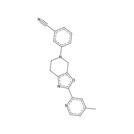 Cc1ccnc(-c2nc3c(o2)CN(c2cccc(C#N)c2)CC3)c1